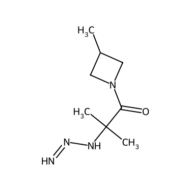 CC1CN(C(=O)C(C)(C)NN=N)C1